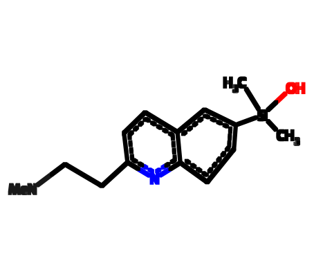 CNCCc1ccc2cc([Si](C)(C)O)ccc2n1